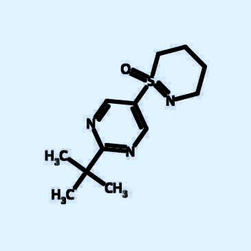 CC(C)(C)c1ncc(S2(=O)=NCCCC2)cn1